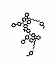 C=Cc1ccc(OCCCCCCC2(c3ccccc3)c3ccccc3-c3ccc(N(c4ccc(-c5ccccc5)cc4)c4ccc5c(c4)C(C)(C)c4cc(N(c6ccc(-c7ccccc7)cc6)c6ccc7c(c6)C(CCCCCCOc6ccc(C=C)cc6)(c6ccccc6)c6ccccc6-7)ccc4-5)cc32)cc1